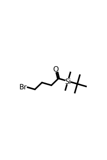 CC(C)(C)[Si](C)(C)C(=O)CCCBr